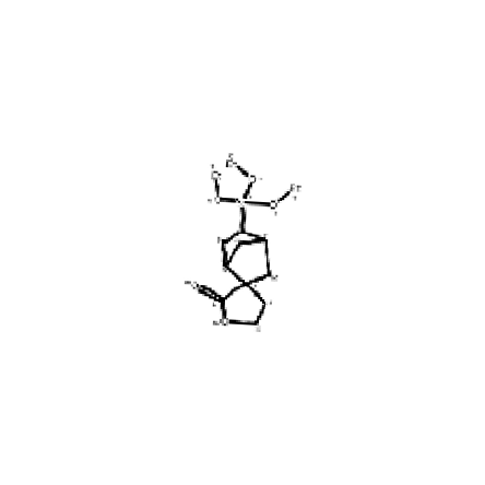 CCO[Si](OCC)(OCC)C1CC2CC1CC21CCOC1=O